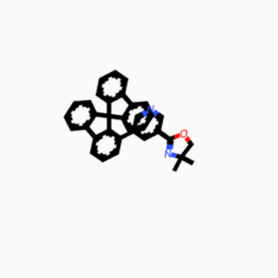 CC1(C)COC(c2cncc(-c3cccc4c3C3(c5ccccc5-c5ccccc53)c3ccccc3-4)c2)=N1